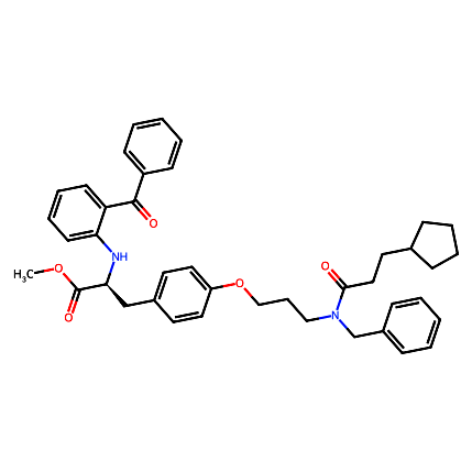 COC(=O)[C@H](Cc1ccc(OCCCN(Cc2ccccc2)C(=O)CCC2CCCC2)cc1)Nc1ccccc1C(=O)c1ccccc1